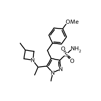 COc1ccc(Cc2c(S(N)(=O)=O)nn(C)c2C(C)N2CC(C)C2)cc1